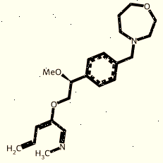 C=C/C=C(\C=N/C)OC[C@@H](OC)c1ccc(CN2CCCOCC2)cc1